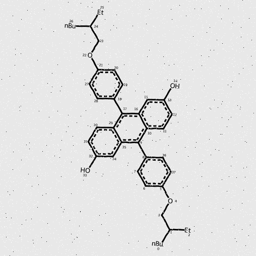 CCCCC(CC)COc1ccc(-c2c3ccc(O)cc3c(-c3ccc(OCC(CC)CCCC)cc3)c3ccc(O)cc23)cc1